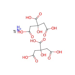 N.O=C(O)CC(O)(CC(=O)O)C(=O)O.O=C(O)CC(O)(CC(=O)O)C(=O)O.[Ti]